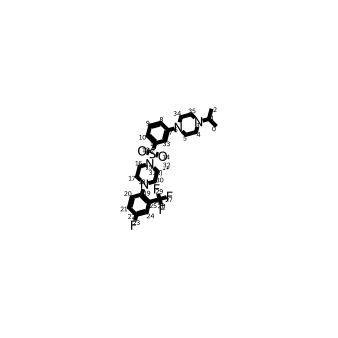 CC(C)N1CCN(c2cccc(S(=O)(=O)N3CCN(c4ccc(F)cc4C(F)(F)F)C[C@H]3C)c2)CC1